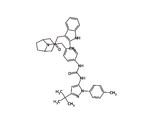 Cc1ccc(-n2nc(C(C)(C)C)cc2NC(=O)Nc2ccc(CC3CC4CCC(C3)N4C(=O)Cc3c(C)[nH]c4ccccc34)cc2)cc1